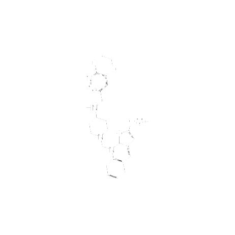 COC1=CC2=CC3=C(CC=CC3)N(CN3CCC(NCc4cc5c(nn4)OCCO5)CC3)C2O1